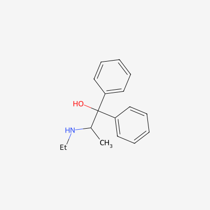 CCNC(C)C(O)(c1ccccc1)c1ccccc1